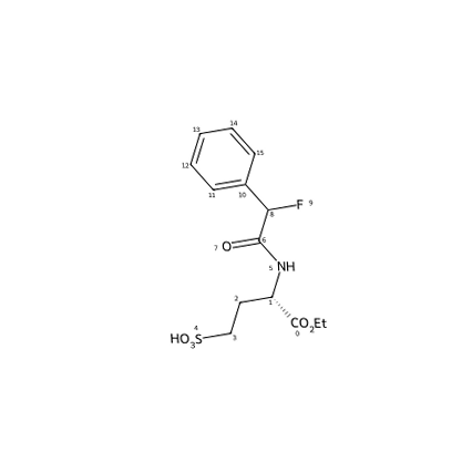 CCOC(=O)[C@H](CCS(=O)(=O)O)NC(=O)C(F)c1ccccc1